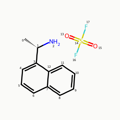 C[C@H](N)c1cccc2ccccc12.O=S(=O)(F)F